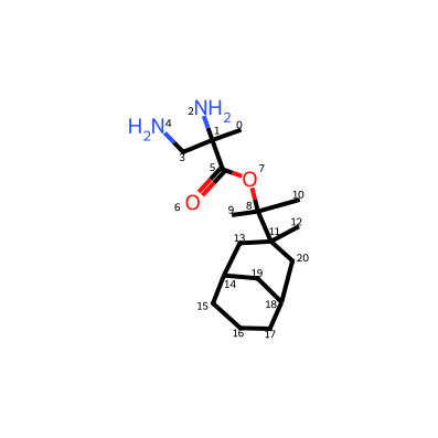 CC(N)(CN)C(=O)OC(C)(C)C1(C)CC2CCCC(C2)C1